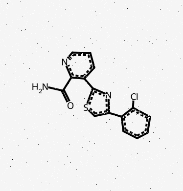 NC(=O)c1ncccc1-c1nc(-c2ccccc2Cl)cs1